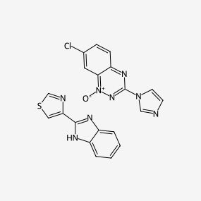 [O-][n+]1nc(-n2ccnc2)nc2ccc(Cl)cc21.c1ccc2[nH]c(-c3cscn3)nc2c1